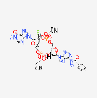 N#CCCOP1(=O)OCC2OC(n3cnc4c(=O)[nH]cnc43)[C@H](F)[C@@H]2OP(=O)(OCC#N)OCC2OC(n3cnc4c(NC(=O)c5ccccc5)ncnc43)C[C@@H]2O1